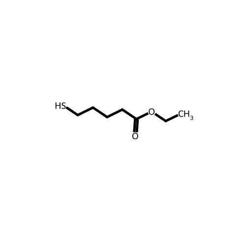 CCOC(=O)CCCCS